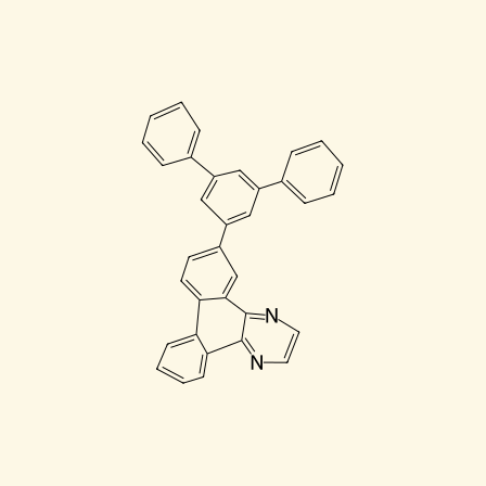 c1ccc(-c2cc(-c3ccccc3)cc(-c3ccc4c5ccccc5c5nccnc5c4c3)c2)cc1